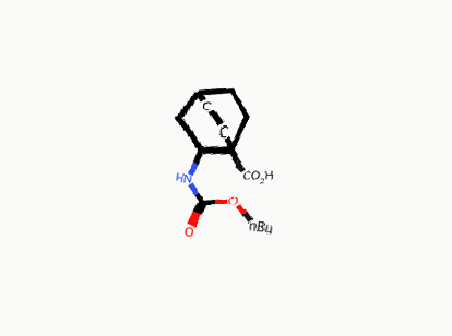 CCCCOC(=O)NC1CC2CCC1(C(=O)O)CC2